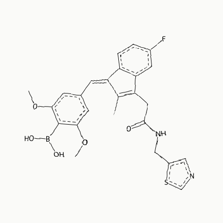 COc1cc(C=C2C(C)=C(CC(=O)NCc3cncs3)c3cc(F)ccc32)cc(OC)c1B(O)O